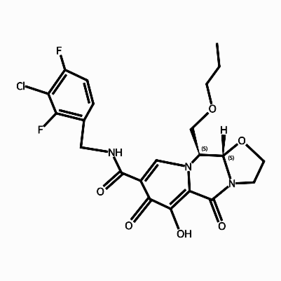 CCCOC[C@H]1[C@@H]2OCCN2C(=O)c2c(O)c(=O)c(C(=O)NCc3ccc(F)c(Cl)c3F)cn21